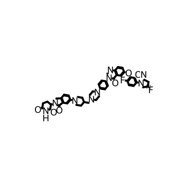 N#Cc1c(N2CC[C@@H](F)C2)ccc(F)c1Oc1ccc2ncn(-c3ccc(N4CCN(CC5CCN(c6ccc7c(c6)C(=O)N(C6CCC(=O)NC6=O)C7)CC5)CC4)cc3)c(=O)c2c1